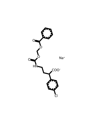 O=C(NCCC(C(=O)[O-])c1ccc(Cl)cc1)OCOC(=O)c1ccccc1.[Na+]